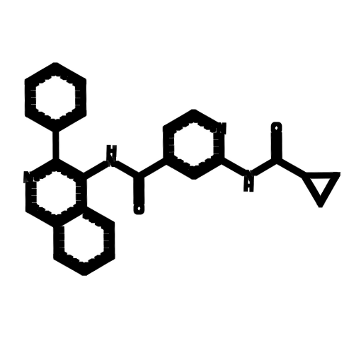 O=C(Nc1c(-c2ccccc2)ncc2ccccc12)c1ccnc(NC(=O)C2CC2)c1